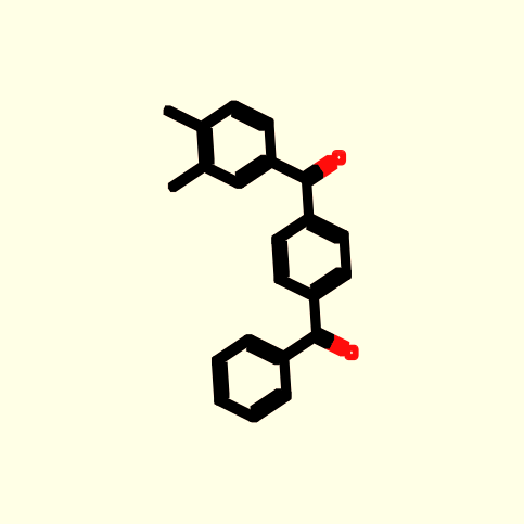 Cc1ccc(C(=O)c2ccc(C(=O)c3ccccc3)cc2)cc1C